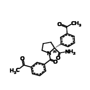 CC(=O)c1cccc(C(=O)N2CCC[C@]2(C(N)=O)c2cccc(C(C)=O)c2)c1